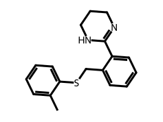 Cc1ccccc1SCc1ccccc1C1=NCCCN1